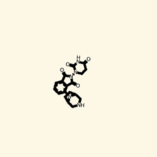 O=C1CCN(N2C(=O)c3cccc(N4C5CCC4CNC5)c3C2=O)C(=O)N1